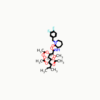 CCC(C)C=C[C@@H](OC(C)=O)[C@H](OC(C)=O)[C@@H](OC(C)=O)[C@@H](OC)C(=O)N[C@H]1CCCCN(Cc2ccc(F)c(F)c2)C1=O